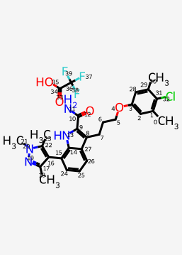 Cc1cc(OCCCc2c(C(N)=O)[nH]c3c(-c4c(C)nn(C)c4C)cccc23)cc(C)c1Cl.O=C(O)C(F)(F)F